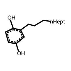 CCCCCCCCCCc1cc(O)ccc1O